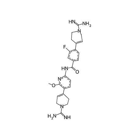 COc1nc(NC(=O)c2ccc(C3=CCN(C(=N)N)CC3)c(F)c2)ccc1C1=CCN(C(=N)N)CC1